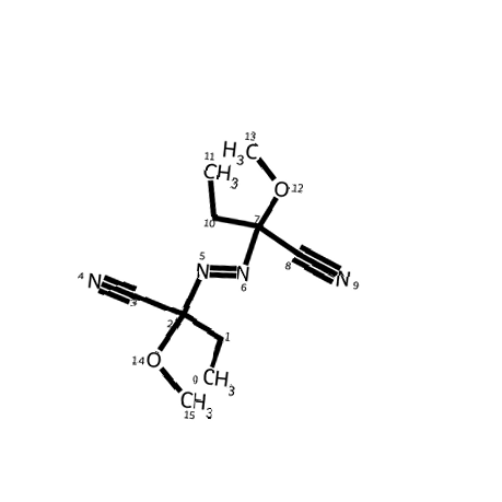 CCC(C#N)(/N=N/C(C#N)(CC)OC)OC